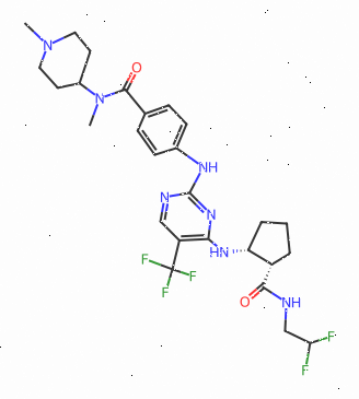 CN1CCC(N(C)C(=O)c2ccc(Nc3ncc(C(F)(F)F)c(N[C@@H]4CCC[C@@H]4C(=O)NCC(F)F)n3)cc2)CC1